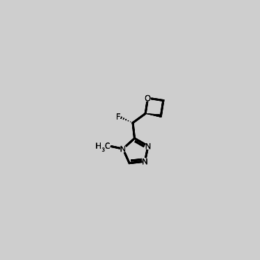 Cn1cnnc1[C@H](F)[C@@H]1CCO1